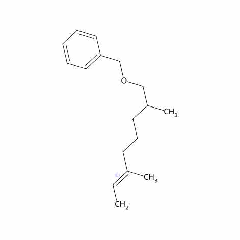 [CH2]/C=C(\C)CCCC(C)COCc1ccccc1